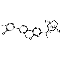 CN(c1ccc2c(n1)OCc1cc(-c3ccn(C)c(=O)c3)ccc1-2)[C@@H]1C[C@H]2CC[C@@H](C1)N2